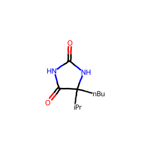 CCCCC1(C(C)C)NC(=O)NC1=O